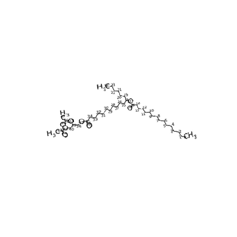 CCCCCCCCCCCCCCCC(=O)OC(CCCCCC)CCCCCCCCCCC(=O)OCC(COC(C)=O)OC(C)=O